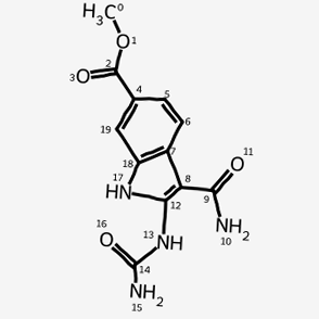 COC(=O)c1ccc2c(C(N)=O)c(NC(N)=O)[nH]c2c1